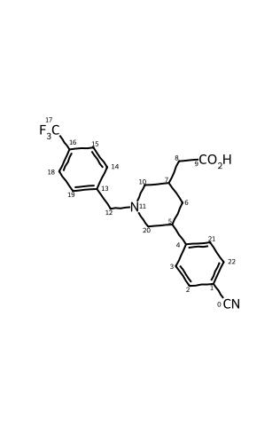 N#Cc1ccc(C2CC(CC(=O)O)CN(Cc3ccc(C(F)(F)F)cc3)C2)cc1